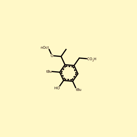 CCCCCCCCOC(C)c1c(CC(=O)O)cc(C(C)(C)C)c(O)c1C(C)(C)C